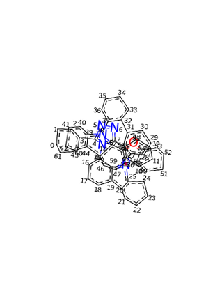 c1ccc(-c2nnc(-c3ccccc3)n2-c2cccc3c4ccccc4n(-c4cccc(-c5ccccc5-n5c6ccccc6c6ccc7c8ccccc8oc7c65)c4)c23)cc1